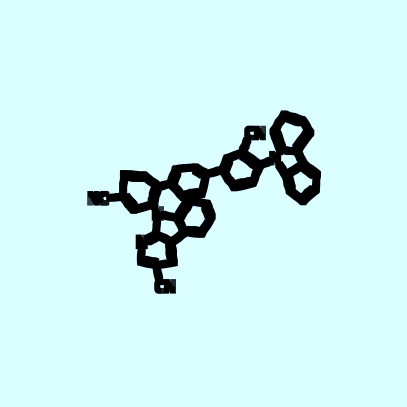 N#Cc1ccc(-c2ccc(-c3ccc(-n4c5ccccc5c5ccccc54)c(C#N)c3)cc2)c(-n2c3ccccc3c3cc(C#N)cnc32)c1